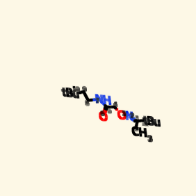 C/C(=N\OCC(=O)NCCC(C)(C)C)C(C)(C)C